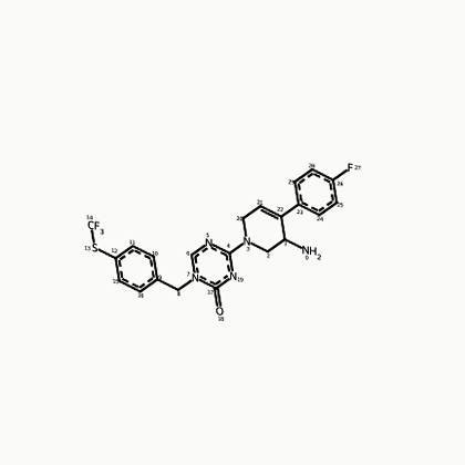 NC1CN(c2ncn(Cc3ccc(SC(F)(F)F)cc3)c(=O)n2)CC=C1c1ccc(F)cc1